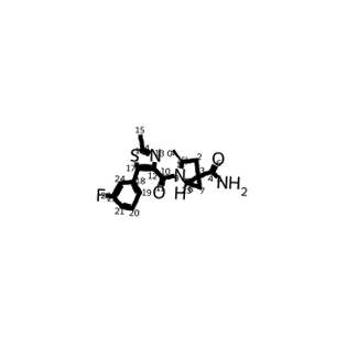 [CH2][C@H]1CC2(C(N)=O)C[C@@H]2N1C(=O)c1nc(C)sc1-c1cccc(F)c1